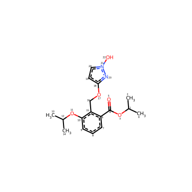 CC(C)OC(=O)c1cccc(OC(C)C)c1COc1ccn(O)n1